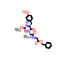 CC[C@H](C)[C@H](NC(=O)[C@H](Cc1ccc(O)cc1)NC(=O)OC(C)(C)C)C(=O)NCC(=O)OCc1ccccc1